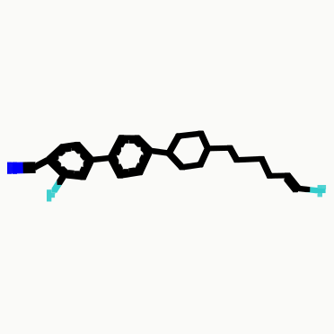 N#Cc1ccc(-c2ccc(C3CCC(CCCC/C=C/F)CC3)cc2)cc1F